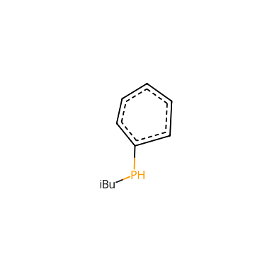 CCC(C)Pc1ccccc1